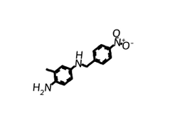 Cc1cc(NCc2ccc([N+](=O)[O-])cc2)ccc1N